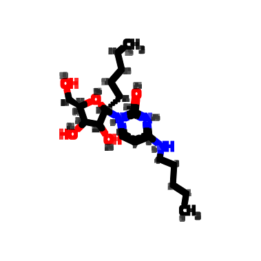 CCCCCNc1ccn([C@]2(CCCCC)O[C@H](CO)C(O)C2O)c(=O)n1